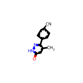 Cc1cc(=O)[nH]nc1-c1ccc(C#N)cc1